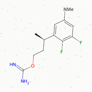 CNc1cc(F)c(F)c([C@H](C)CCOC(=N)N)c1